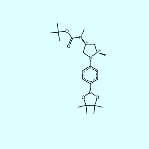 C[C@@H]1C[C@H](N(C)C(=O)OC(C)(C)C)CN1c1ccc(B2OC(C)(C)C(C)(C)O2)cc1